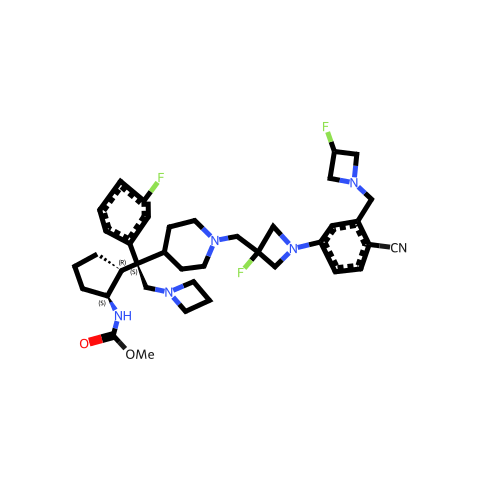 COC(=O)N[C@H]1CCC[C@@H]1[C@](CN1CCC1)(c1cccc(F)c1)C1CCN(CC2(F)CN(c3ccc(C#N)c(CN4CC(F)C4)c3)C2)CC1